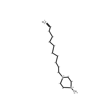 C=CCCCCCCCCCN1CCN(C)CC1